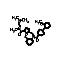 COc1ccccc1-c1ccc(C(=O)N2Cc3ccc(C(=O)N(C)CCN(C)C)n3Cc3ccccc32)cc1